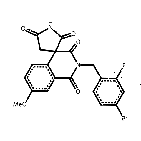 COc1ccc2c(c1)C(=O)N(Cc1ccc(Br)cc1F)C(=O)C21CC(=O)NC1=O